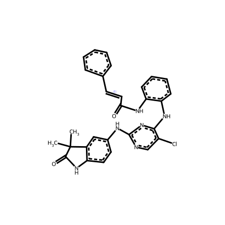 CC1(C)C(=O)Nc2ccc(Nc3ncc(Cl)c(Nc4ccccc4NC(=O)/C=C/c4ccccc4)n3)cc21